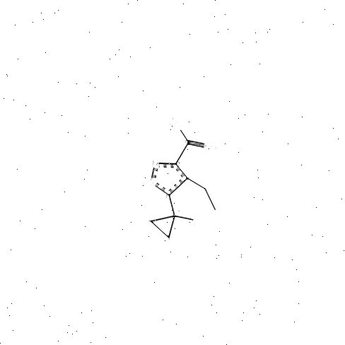 CCc1c(C(=O)O)noc1C1(C)CC1